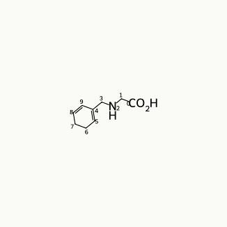 O=C(O)CNCC1=CCCC=C1